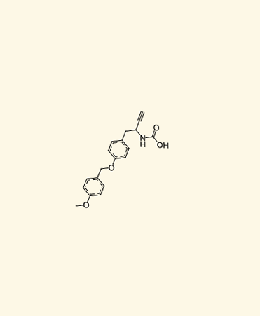 C#CC(Cc1ccc(OCc2ccc(OC)cc2)cc1)NC(=O)O